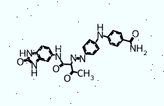 CC(=O)C(N=Nc1ccc(Nc2ccc(C(N)=O)cc2)cc1)C(=O)Nc1ccc2[nH]c(=O)[nH]c2c1